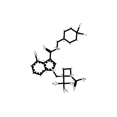 CC(C)(C)[C@]1(Cn2cc(C(=O)NCC3CCC(F)(F)CC3)c3c(Cl)cccc32)CCN1C(=O)O